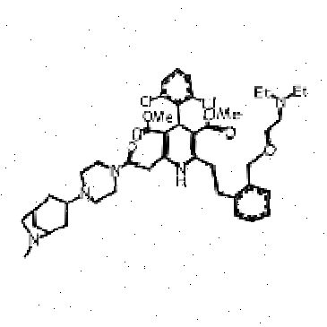 CCN(CC)CCOCc1ccccc1CCC1=C(C(=O)OC)C(c2c(Cl)cccc2Cl)C(C(=O)OC)=C(CC(=O)N2CCN(C3CC4CC(C3)N(C)C4)CC2)N1